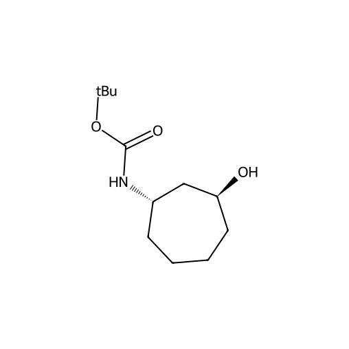 CC(C)(C)OC(=O)N[C@H]1CCCC[C@H](O)C1